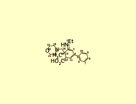 CCNC1=CC(c2ccccc2)=CC(C(=O)O)C1(C)CN1CCOCC1